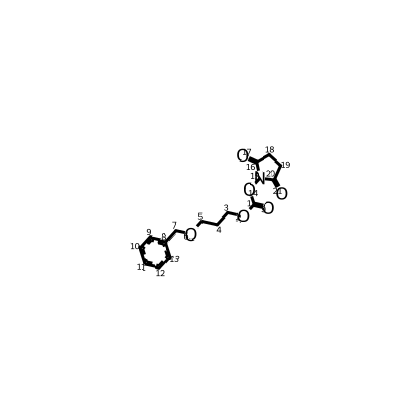 O=C(OCCCOCc1ccccc1)ON1C(=O)CCC1=O